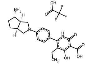 CCc1c(-c2ccc(N3C[C@H]4CC[C@H](N)[C@H]4C3)cc2)[nH]c(=O)c(C(=O)O)c1O.O=C(O)C(F)(F)F